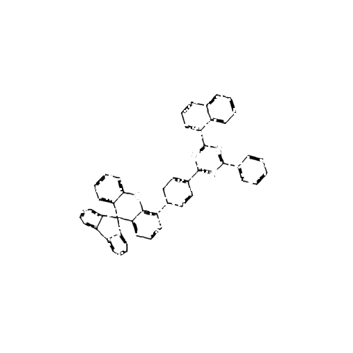 C1=CC(c2cccc3c2Oc2ccccc2C32c3ccccc3-c3ccccc32)CC=C1c1nc(-c2ccccc2)nc(-c2cccc3ccccc23)n1